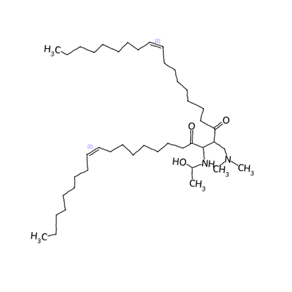 CCCCCCCC/C=C\CCCCCCCC(=O)C(CN(C)C)C(NC(C)O)C(=O)CCCCCCC/C=C\CCCCCCCC